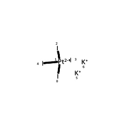 [I][Pt-2]([I])([I])[I].[K+].[K+]